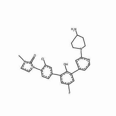 Cn1ccn(-c2ccc(-c3cc(F)cc(-c4ccnc(N5CCC(N)CC5)c4)c3O)cc2Cl)c1=O